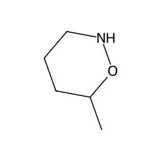 CC1CCCNO1